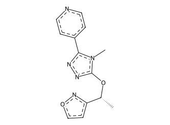 C[C@@H](Oc1nnc(-c2ccncc2)n1C)c1ccon1